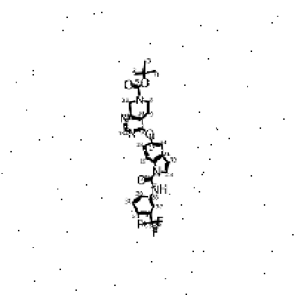 CC(C)(C)OC(=O)N1CCc2c(ncnc2Oc2ccc3c(ccn3C(=O)Nc3cccc(C(F)(F)F)c3)c2)C1